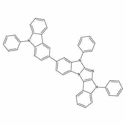 c1ccc(-n2c3ccccc3c3cc(-c4ccc5c(c4)n(-c4ccccc4)c4nc6c(c7ccccc7n6-c6ccccc6)n54)ccc32)cc1